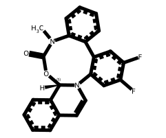 CN1C(=O)O[C@H]2c3ccccc3C=CN2c2cc(F)c(F)cc2-c2ccccc21